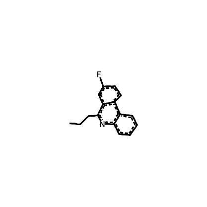 CCCc1nc2ccccc2c2ccc(F)cc12